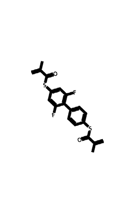 C=C(C)C(=O)Sc1ccc(-c2c(F)cc(SC(=O)C(=C)C)cc2F)cc1